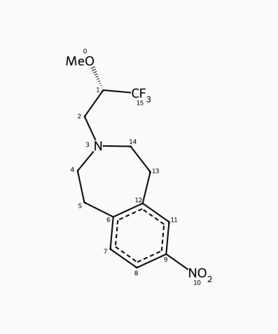 CO[C@@H](CN1CCc2ccc([N+](=O)[O-])cc2CC1)C(F)(F)F